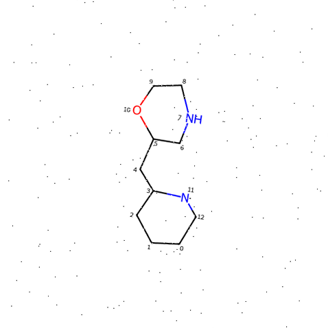 C1CCC(CC2CNCCO2)[N]C1